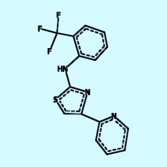 FC(F)(F)c1ccccc1Nc1nc(-c2ccccn2)cs1